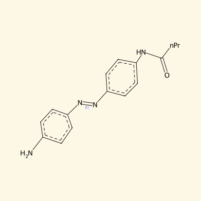 CCCC(=O)Nc1ccc(/N=N/c2ccc(N)cc2)cc1